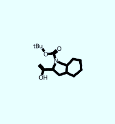 C=C(O)C1CC2CCCCC2N1C(=O)OC(C)(C)C